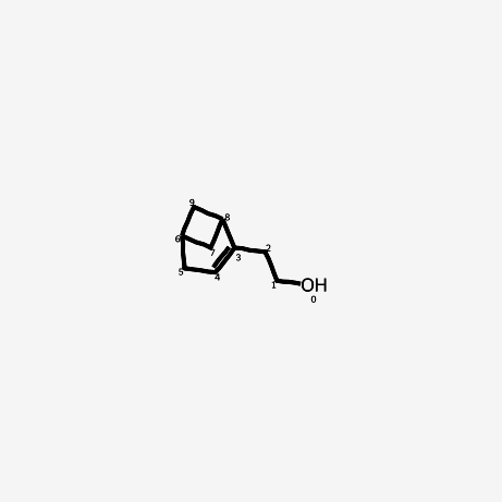 OCCC1=CCC2CC1C2